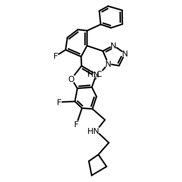 Cn1cnnc1-c1c(-c2ccccc2)ccc(F)c1-c1nc2cc(CNCC3CCC3)c(F)c(F)c2o1